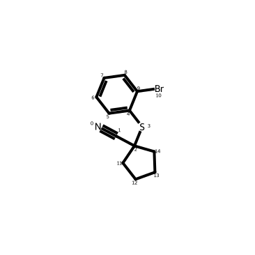 N#CC1(Sc2ccccc2Br)CCCC1